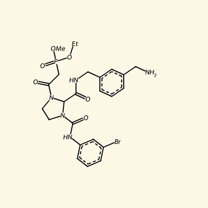 CCOP(=O)(CC(=O)N1CCN(C(=O)Nc2cccc(Br)c2)C1C(=O)NCc1cccc(CN)c1)OC